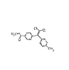 C=CC(=O)c1ccc(C(=C(Cl)Cl)c2ccc(C)cc2)cc1